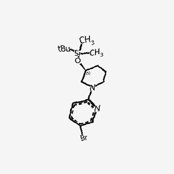 CC(C)(C)[Si](C)(C)O[C@H]1CCCN(c2ccc(Br)cn2)C1